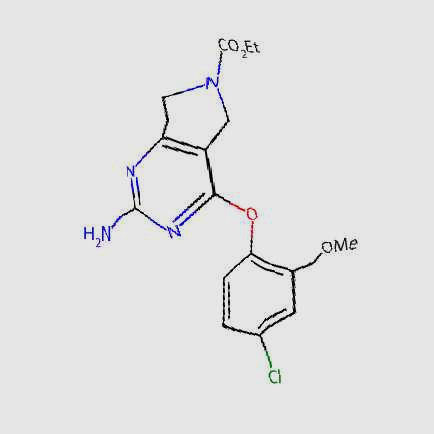 CCOC(=O)N1Cc2nc(N)nc(Oc3ccc(Cl)cc3OC)c2C1